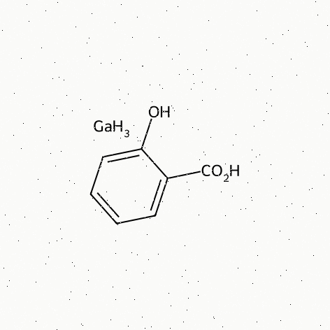 O=C(O)c1ccccc1O.[GaH3]